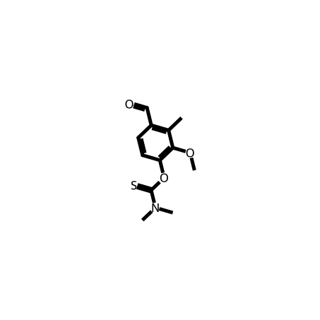 COc1c(OC(=S)N(C)C)ccc(C=O)c1C